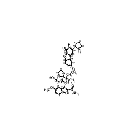 COc1ccc2oc(C(N)=O)c(NC(=O)C3(C(C)(C)C)CCCN3C(=O)O)c2c1.COc1ccc2oc3c(=O)[nH]c([C@H]4CCCN4)nc3c2c1